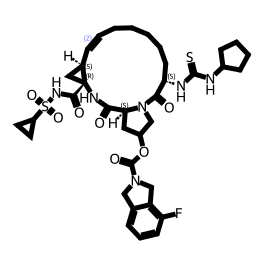 O=C1N[C@]2(C(=O)NS(=O)(=O)C3CC3)C[C@H]2/C=C\CCCCC[C@H](NC(=S)NC2CCCC2)C(=O)N2CC(OC(=O)N3Cc4cccc(F)c4C3)C[C@@H]12